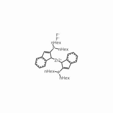 CCCCCCP(CCCCCC)C1=Cc2ccccc2[CH]1[Zr+2][CH]1C(P(CCCCCC)CCCCCC)=Cc2ccccc21.[F-].[F-]